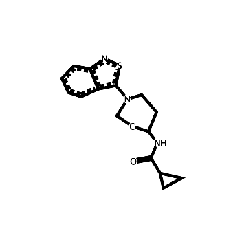 O=C(NC1CCN(c2snc3ccccc23)CC1)C1CC1